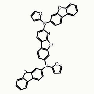 c1coc(N(c2ccc3c(c2)oc2ccccc23)c2ccc3c(c2)oc2nc(N(c4ccc5c(c4)oc4ccccc45)c4ccco4)ccc23)c1